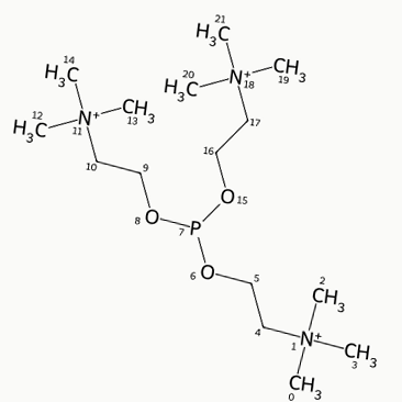 C[N+](C)(C)CCOP(OCC[N+](C)(C)C)OCC[N+](C)(C)C